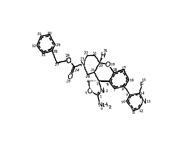 NC1=N[C@]2(CO1)c1cc(-c3cccnc3F)ccc1O[C@H]1CCN(C(=O)OCc3ccccc3)CC12